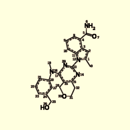 Cc1cc2c(C(N)=O)cccc2n1-c1nc2c(c(N(C)c3cccc(CO)c3)n1)COCC2